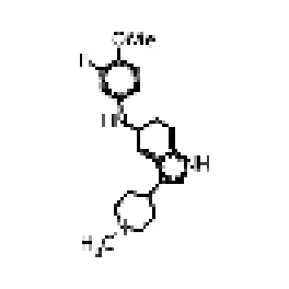 COc1ccc(NC2C=c3c(C4CCN(C)CC4)c[nH]c3=CC2)cc1F